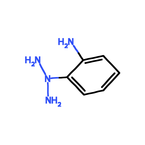 Nc1ccccc1N(N)N